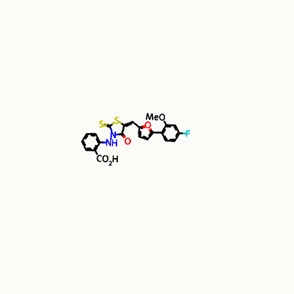 COc1cc(F)ccc1-c1ccc(/C=C2/SC(=S)N(Nc3ccccc3C(=O)O)C2=O)o1